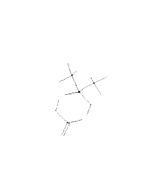 O=C1COC(C(F)(F)F)(C(F)(F)F)CO1